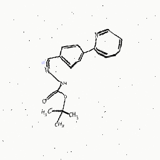 CC(C)(C)OC(=O)N/N=C\c1ccc(-c2ccccn2)cc1